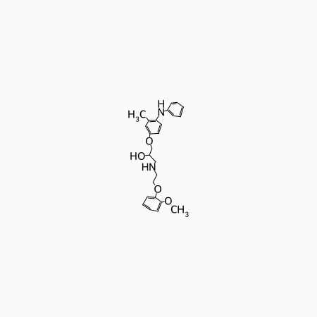 COc1ccccc1OCCNCC(O)COc1ccc(Nc2ccccc2)c(C)c1